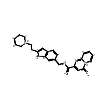 O=C(NCc1ccc2cc(CCN3CCCCC3)[nH]c2c1)c1cc(=O)n2ccccc2n1